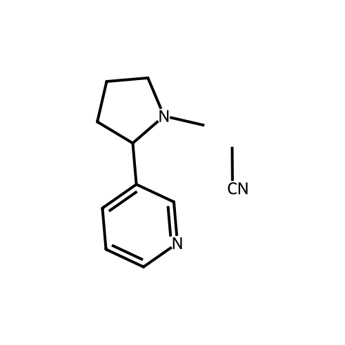 CC#N.CN1CCCC1c1cccnc1